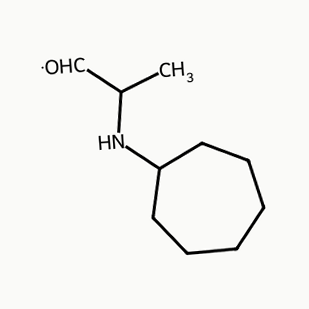 CC([C]=O)NC1CCCCCC1